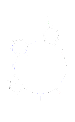 CN1CC(=O)NCCCOc2ccc(Cl)cc2Nc2ccnc(n2)Nc2cccc(c2)C1